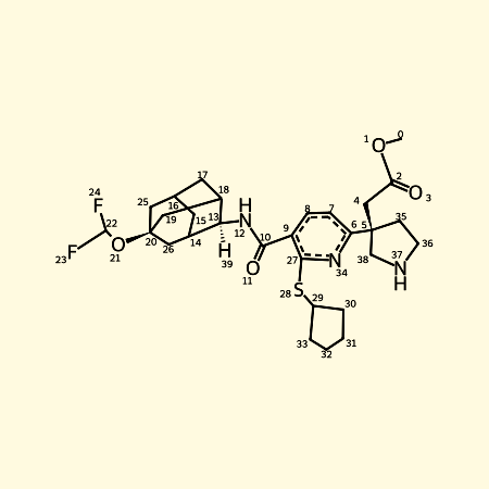 COC(=O)C[C@@]1(c2ccc(C(=O)N[C@H]3C4CC5CC3C[C@@](OC(F)F)(C5)C4)c(SC3CCCC3)n2)CCNC1